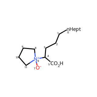 CCCCCCCCCCC(C(=O)O)[N+]1([O-])CCCC1